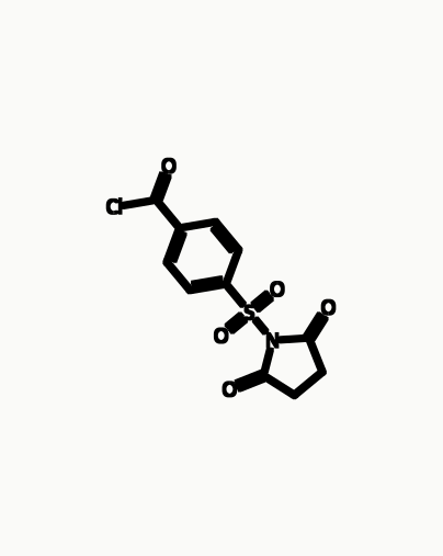 O=C(Cl)c1ccc(S(=O)(=O)N2C(=O)CCC2=O)cc1